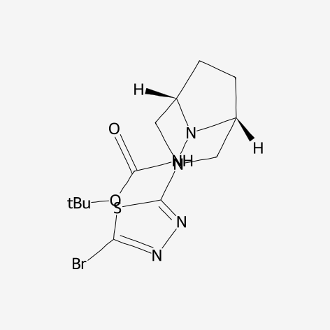 CC(C)(C)OC(=O)NN1[C@@H]2CC[C@H]1CN(c1nnc(Br)s1)C2